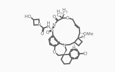 CO[C@H]1/C=C/COC(C)(C)C(=O)N=[S@@](=O)(NC(=O)N2CC(O)C2)c2ccc3c(c2)N(C[C@@H]2CC[C@H]21)C[C@@]1(CCCc2cc(Cl)ccc21)CO3